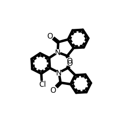 O=C1c2ccccc2C(=O)N1c1cccc(Cl)c1N1C(=O)c2ccccc2C1=O